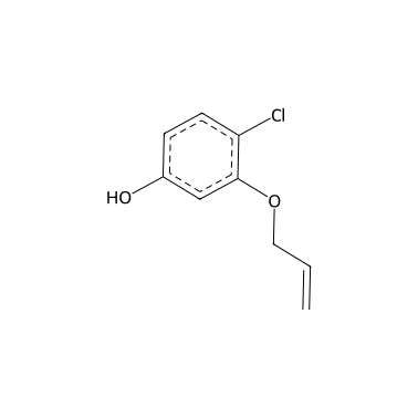 C=CCOc1cc(O)ccc1Cl